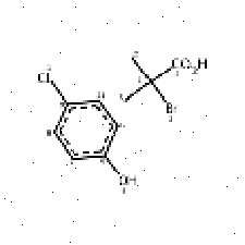 CC(C)(Br)C(=O)O.Oc1ccc(Cl)cc1